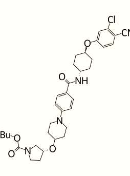 CC(C)(C)OC(=O)N1CC[C@@H](OC2CCN(c3ccc(C(=O)N[C@H]4CC[C@H](Oc5ccc(C#N)c(Cl)c5)CC4)cc3)CC2)C1